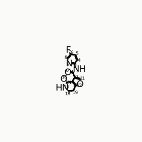 O=C(Nc1ccc(F)cn1)c1coc2c1C(=O)NCC2